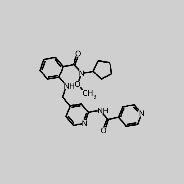 CON(C(=O)c1ccccc1NCc1ccnc(NC(=O)c2ccncc2)c1)C1CCCC1